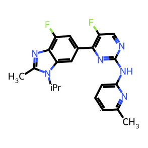 Cc1[c]ccc(Nc2ncc(F)c(-c3cc(F)c4nc(C)n(C(C)C)c4c3)n2)n1